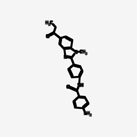 CCC(=O)c1ccc2c(c1)nc(-c1ccc(NC(=O)c3ccc(N)cc3)cc1)n2C